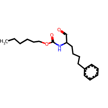 CCCCCCOC(=O)NC([C]=O)CCCCc1ccccc1